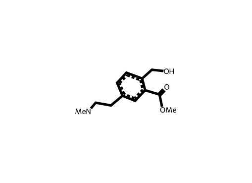 CNCCc1ccc(CO)c(C(=O)OC)c1